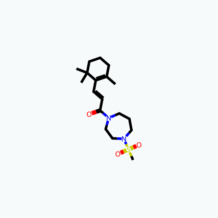 CC1=C(/C=C/C(=O)N2CCCN(S(C)(=O)=O)CC2)C(C)(C)CCC1